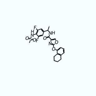 CC(NC(=O)c1coc(Oc2cccc3c2CCCC3)n1)c1cc(F)c(NS(C)(=O)=O)c(F)c1